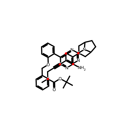 CN(CC#Cc1cnc(N2C3CCC2CN(c2cc(-c4ccccc4OCc4ccccc4)nnc2N)C3)nc1)C(=O)OC(C)(C)C